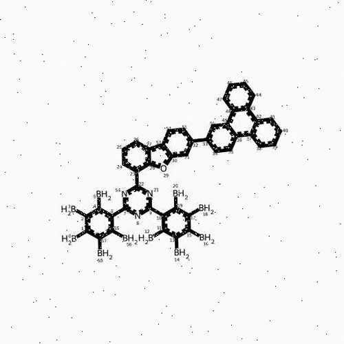 Bc1c(B)c(B)c(-c2nc(-c3c(B)c(B)c(B)c(B)c3B)nc(-c3cccc4c3oc3cc(-c5ccc6c7ccccc7c7ccccc7c6c5)ccc34)n2)c(B)c1B